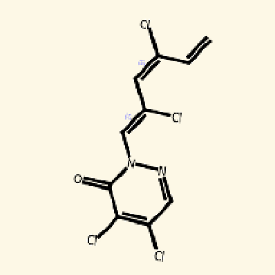 C=C/C(Cl)=C\C(Cl)=C\n1ncc(Cl)c(Cl)c1=O